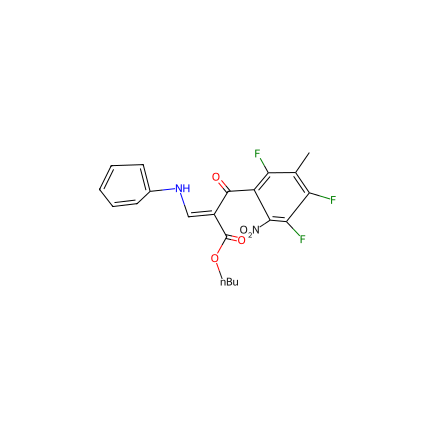 CCCCOC(=O)C(=CNc1ccccc1)C(=O)c1c(F)c(C)c(F)c(F)c1[N+](=O)[O-]